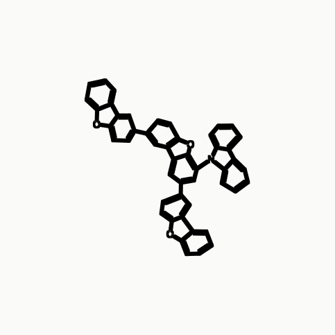 c1ccc2c(c1)oc1ccc(-c3ccc4oc5c(-n6c7ccccc7c7ccccc76)cc(-c6ccc7oc8ccccc8c7c6)cc5c4c3)cc12